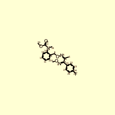 CO/N=C(\C(C)=NOCc1ccccc1N(C)C(=O)OC)c1ccc(F)cc1